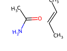 CC(N)=O.CC=CC